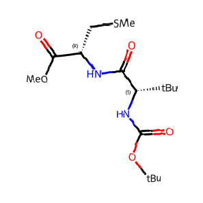 COC(=O)[C@H](CSC)NC(=O)[C@@H](NC(=O)OC(C)(C)C)C(C)(C)C